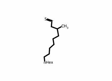 CCCCCCCCCCCCC(C)C[C]=S